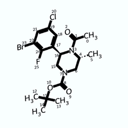 CC(=O)N1[C@H](C)CN(C(=O)OC(C)(C)C)C[C@H]1c1cc(Cl)cc(Br)c1F